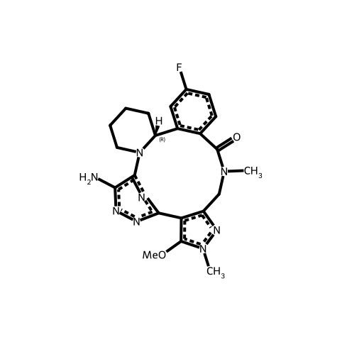 COc1c2c(nn1C)CN(C)C(=O)c1ccc(F)cc1[C@H]1CCCCN1c1nc-2nnc1N